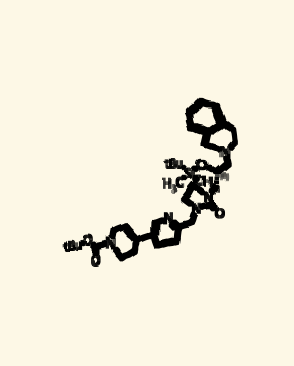 CC(C)(C)OC(=O)N1CC=C(c2ccc(CN3CCN(C[C@@H](CN4CCc5ccccc5C4)O[Si](C)(C)C(C)(C)C)C3=O)nc2)CC1